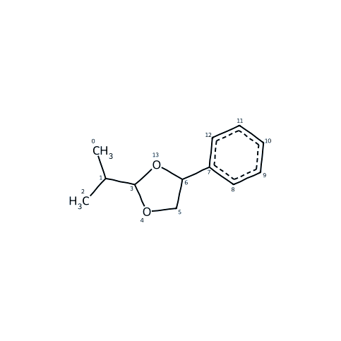 CC(C)C1OCC(c2ccccc2)O1